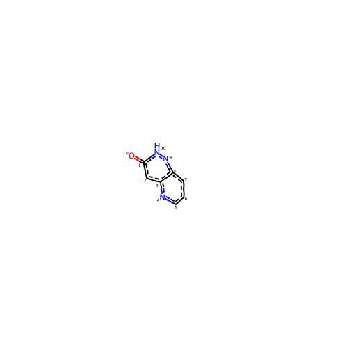 O=c1cc2ncccc2n[nH]1